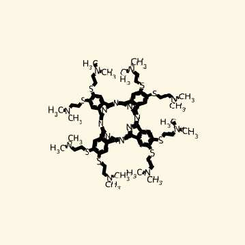 CN(C)CCSc1cc2c(cc1SCCN(C)C)-c1nc-2nc2[nH]c(nc3nc(nc4[nH]c(n1)c1cc(SCCN(C)C)c(SCCN(C)C)cc41)-c1cc(SCCN(C)C)c(SCCN(C)C)cc1-3)c1cc(SCCN(C)C)c(SCCN(C)C)cc21